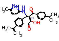 C=C(C)c1ccc(C(Nc2ccc(C)nn2)/C(C(=O)c2ccc(C(C)C)cc2)=C(/O)C=O)cc1